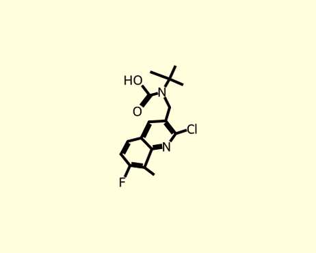 Cc1c(F)ccc2cc(CN(C(=O)O)C(C)(C)C)c(Cl)nc12